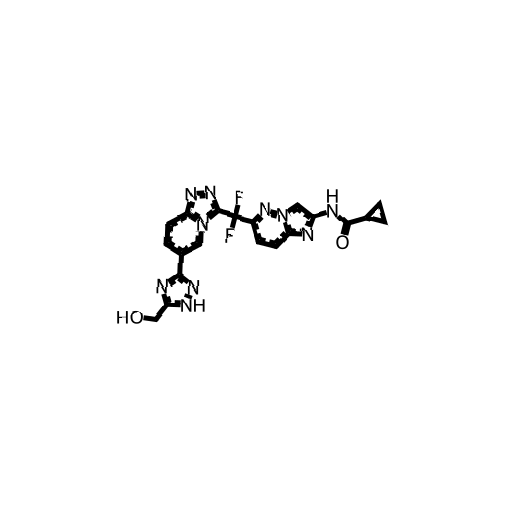 O=C(Nc1cn2nc(C(F)(F)c3nnc4ccc(-c5n[nH]c(CO)n5)cn34)ccc2n1)C1CC1